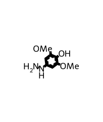 COc1cc(NN)cc(OC)c1O